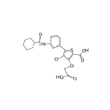 O=C(O)COc1c(C(=O)O)sc(-c2cccc(NC(=O)C3CCCCC3)c2)c1Cl